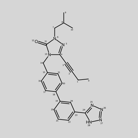 CCC#Cc1nn(CC(C)C)c(=O)n1Cc1ccc(-c2cccc(-c3nnn[nH]3)c2)cc1